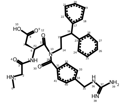 CNCC(=O)N[C@@H](CC(=O)O)C(=O)N(CCC(c1ccccc1)c1ccccc1)C(=O)c1ccc(CNC(=N)N)cc1